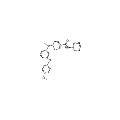 CC(=C1CC2CCC1CC2C(=O)Nc1cccnc1)c1cccc(Oc2ccc(C(F)(F)F)cn2)c1